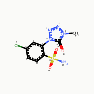 Cn1nnn(-c2cc(Cl)ccc2S(N)(=O)=O)c1=O